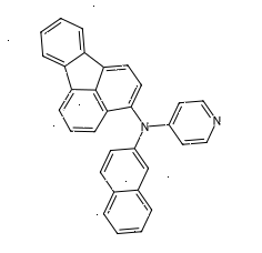 c1ccc2c(c1)-c1cccc3c(N(c4ccncc4)c4ccc5ccccc5c4)ccc-2c13